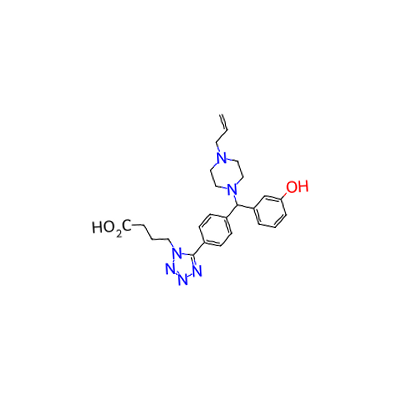 C=CCN1CCN(C(c2ccc(-c3nnnn3CCCC(=O)O)cc2)c2cccc(O)c2)CC1